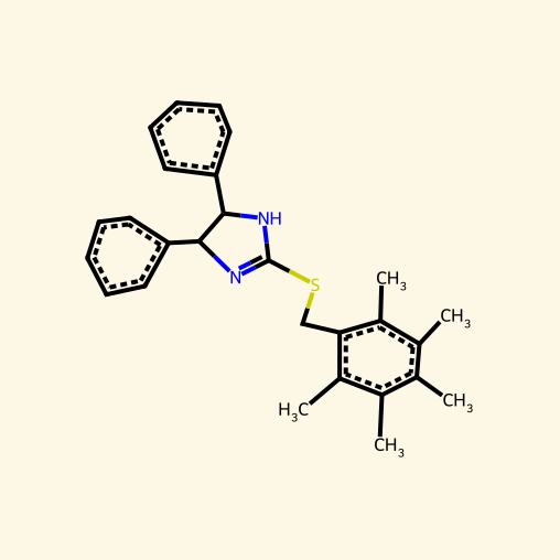 Cc1c(C)c(C)c(CSC2=NC(c3ccccc3)C(c3ccccc3)N2)c(C)c1C